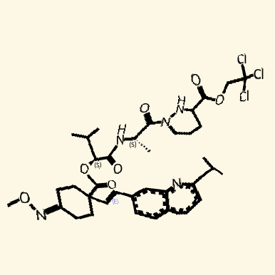 CON=C1CCC(/C=C/c2ccc3ccc(C(C)C)nc3c2)(C(=O)O[C@H](C(=O)N[C@@H](C)C(=O)N2CCCC(C(=O)OCC(Cl)(Cl)Cl)N2)C(C)C)CC1